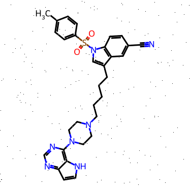 Cc1ccc(S(=O)(=O)n2cc(CCCCCN3CCN(c4ncnc5cc[nH]c45)CC3)c3cc(C#N)ccc32)cc1